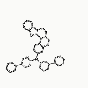 c1ccc(-c2ccc(N(c3cccc(-c4ccccc4)c3)c3ccc4c(ccc5ccc6c7ccccc7oc6c54)c3)nc2)cc1